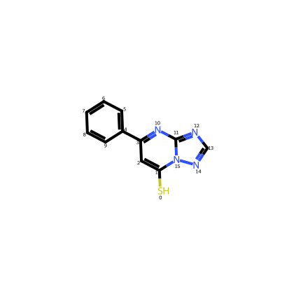 Sc1cc(-c2ccccc2)nc2ncnn12